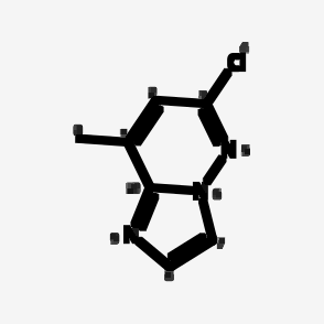 Cc1cc(Cl)nn2ccnc12